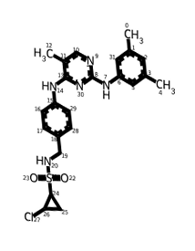 Cc1cc(C)cc(Nc2ncc(C)c(Nc3ccc(CNS(=O)(=O)C4CC4Cl)cc3)n2)c1